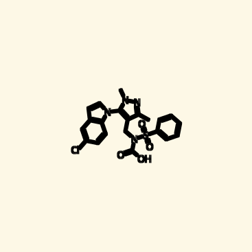 Cc1nn(C)c(-n2ccc3cc(Cl)ccc32)c1CN(C(=O)O)S(=O)(=O)c1ccccc1